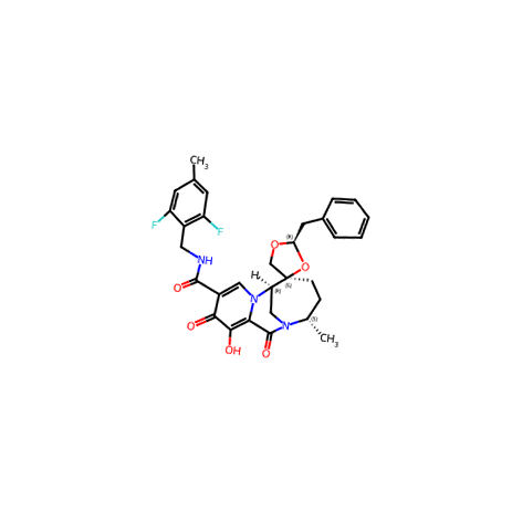 Cc1cc(F)c(CNC(=O)c2cn3c(c(O)c2=O)C(=O)N2C[C@@H]3[C@@]3(CC[C@@H]2C)CO[C@@H](Cc2ccccc2)O3)c(F)c1